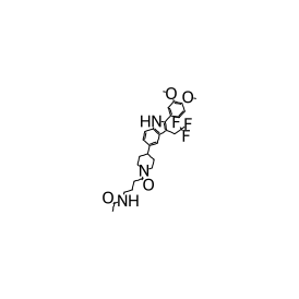 COc1ccc(-c2[nH]c3ccc(C4CCN(C(=O)CCCNC(C)=O)CC4)cc3c2CC(F)(F)F)cc1OC